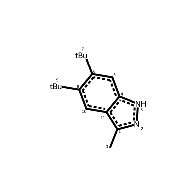 Cc1n[nH]c2cc(C(C)(C)C)c(C(C)(C)C)cc12